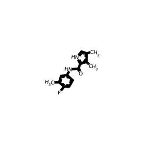 Cc1cc(NC(=O)c2[nH]cc(C)c2C)ccc1F